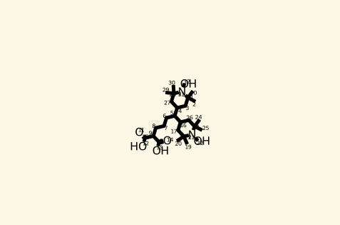 CC1(C)CC(C(CCCC(C(=O)O)C(=O)O)C2CC(C)(C)N(O)C(C)(C)C2)CC(C)(C)N1O